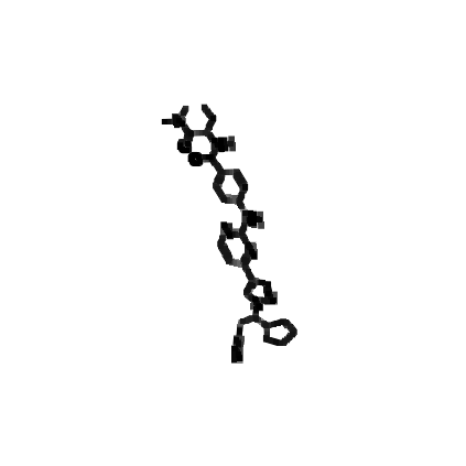 CCC(NC(=O)c1ccc(Nc2nccc(-c3cnn(C(CC#N)C4CCCC4)c3)n2)cc1)C(=O)N(C)C